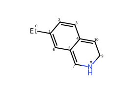 CCc1ccc2c(c1)=CNCC=2